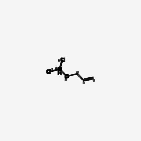 C=CCO[SiH](Cl)Cl